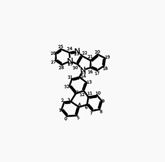 c1ccc2c(c1)c1ccccc1c1cc(-n3c4ccccc4c4nc5ccccn5c43)ccc21